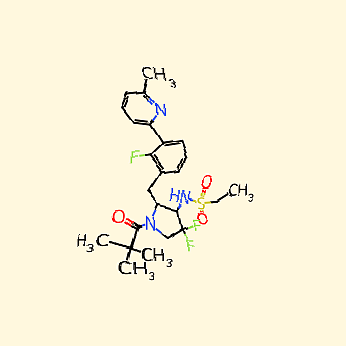 CCS(=O)(=O)N[C@@H]1[C@H](Cc2cccc(-c3cccc(C)n3)c2F)N(C(=O)C(C)(C)C)CC1(F)F